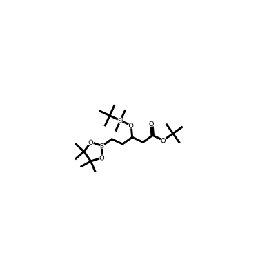 CC(C)(C)OC(=O)CC(CCB1OC(C)(C)C(C)(C)O1)O[Si](C)(C)C(C)(C)C